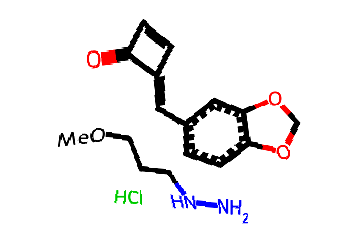 COCCCNN.Cl.O=C1C=CC1=Cc1ccc2c(c1)OCO2